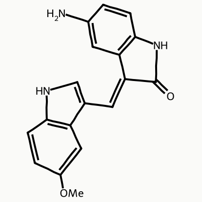 COc1ccc2[nH]cc(/C=C3/C(=O)Nc4ccc(N)cc43)c2c1